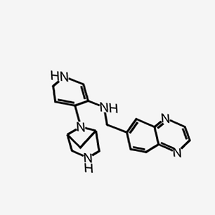 C1=C(NCc2ccc3nccnc3c2)C(N2C3CNCC2C3)=CCN1